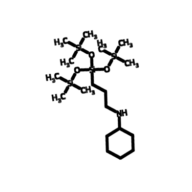 C[Si](C)(C)O[Si](CCCNC1CCCCC1)(O[Si](C)(C)C)O[Si](C)(C)C